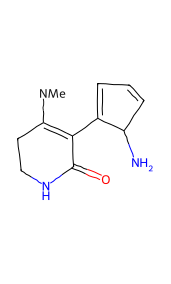 CNC1=C(C2=CC=CC2N)C(=O)NCC1